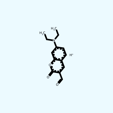 CCN(CC)c1ccc2cc(C=O)c(=O)oc2c1.[H+]